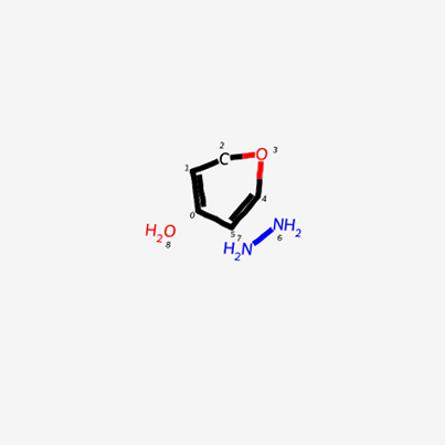 C1=CCOC=C1.NN.O